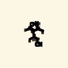 Cc1noc(C)c1[C@H](C)CC#N